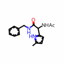 CC(=O)NC(C(=O)NCc1ccccc1)c1ccc(C)[nH]1